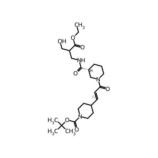 CCOC(=O)C(CO)CNC(=O)[C@@H]1CCCN(C(=O)/C=C/C2CCN(C(=O)OC(C)(C)C)CC2)C1